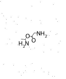 CC(N)OC(=O)CN